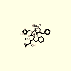 CC(C)(C)S(=O)(=O)CC(=Cc1ccccc1)C(=O)N[C@@H](Cc1c[nH]cn1)C(=O)N[C@@H](CC1CCCCC1)[C@@H](O)[C@@H](O)C1CC1